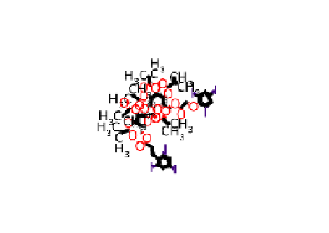 CC(C)C(=O)OC[C@@]1(O[C@H]2O[C@H](COC(=O)COc3c(I)cc(I)cc3I)[C@@H](OC(=O)C(C)C)[C@H](OC(=O)C(C)C)[C@H]2OC(=O)C(C)C)O[C@H](COC(=O)CCc2c(I)cc(I)cc2I)[C@@H](OC(=O)C(C)C)[C@@H]1OC(=O)C(C)C